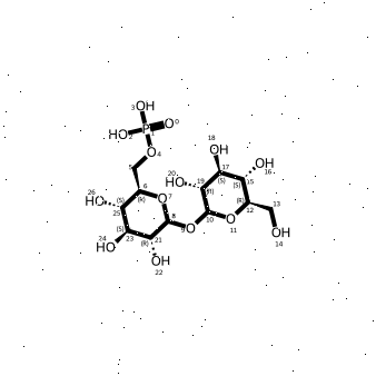 O=P(O)(O)OC[C@H]1OC(OC2O[C@H](CO)[C@@H](O)[C@H](O)[C@H]2O)[C@H](O)[C@@H](O)[C@@H]1O